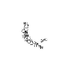 CNCCN(CCOCCO)C(=O)Oc1ccc2c(c1)[C@@]1(C)CCC[C@](C)(C(=O)NC(=O)[C@@]3(C)CCC[C@]4(C)c5cc(N)ccc5CC[C@@H]34)[C@@H]1CC2